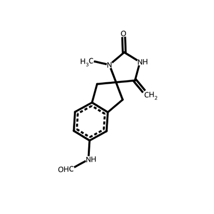 C=C1NC(=O)N(C)C12Cc1ccc(NC=O)cc1C2